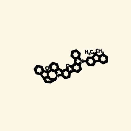 CC1(C)c2ccccc2-c2ccc(-n3c4ccccc4c4c5oc6c(ccc7c6c6cccc8c6n7-c6ccc7c(c6)C8(C)c6ccccc6-7)c5ccc43)cc21